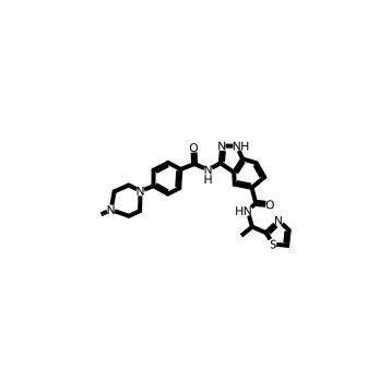 CC(NC(=O)c1ccc2[nH]nc(NC(=O)c3ccc(N4CCN(C)CC4)cc3)c2c1)c1nccs1